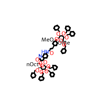 CCCCCCCCOc1c(O[C@H]2O[C@H](COCc3ccccc3)[C@@H](OCc3ccccc3)[C@H](OCc3ccccc3)[C@@H]2OCc2ccccc2)c2ccc(NC(=O)C=Cc3cc(OC)c(O[C@H]4O[C@H](COCc5ccccc5)[C@@H](OCc5ccccc5)[C@H](OCc5ccccc5)[C@@H]4OCc4ccccc4)c(OC)c3)cc2n(C)c1=O